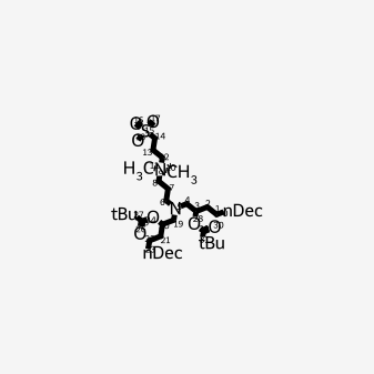 CCCCCCCCCCCCC(CN(CCC[N+](C)(C)CCCS(=O)(=O)[O-])CC(CCCCCCCCCCCC)OC(=O)C(C)(C)C)OC(=O)C(C)(C)C